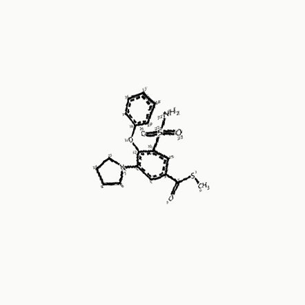 CSC(=O)c1cc(N2CCCC2)c(Oc2ccccc2)c(S(N)(=O)=O)c1